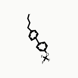 [CH2]CCCc1ccc(-c2ccc(OC(F)(F)F)cc2)cc1